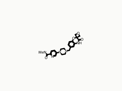 CNC(=O)c1ccc(N2CCN(Cc3ccc4c(c3)NC(=O)C3(COC3)O4)CC2)cn1